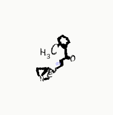 Cc1ccccc1C(=O)/C=C/N1CCN2CCC1CC2